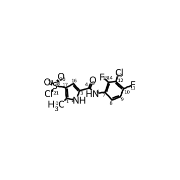 Cc1[nH]c(C(=O)Nc2ccc(F)c(Cl)c2F)cc1S(=O)(=O)Cl